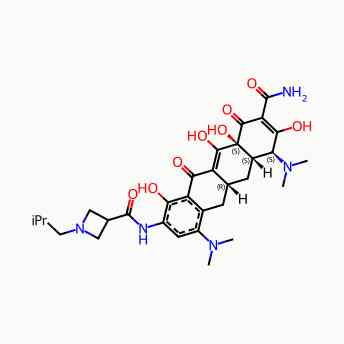 CC(C)CN1CC(C(=O)Nc2cc(N(C)C)c3c(c2O)C(=O)C2=C(O)[C@]4(O)C(=O)C(C(N)=O)=C(O)[C@@H](N(C)C)[C@@H]4C[C@@H]2C3)C1